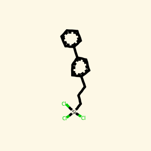 Cl[Si](Cl)(Cl)CCCc1ccc(-c2ccccc2)cc1